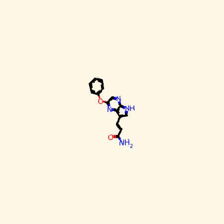 NC(=O)C=Cc1c[nH]c2ncc(Oc3ccccc3)nc12